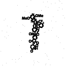 COc1ccc(CN(c2nc3c(OC)cnc(OC)n3n2)S(=O)(=O)c2c(OCCOc3ccc4c(c3)C(=O)N(C3CCC(=O)NC3=O)C4=O)cccc2C(F)(F)F)cc1